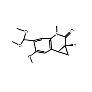 COc1cc2c(cc1C(OC)OC)N(C)C(=O)[C@@H]1CC21